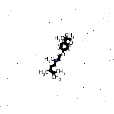 CC(C)=C(C)CC/C(C)=C/COc1ccc2c(c1)OCC2(C)C